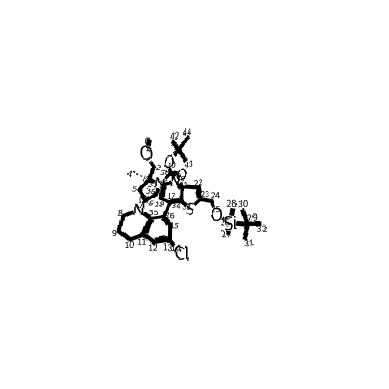 COC[C@]1(C)C[C@H](N2CCCc3cc(Cl)cc(-c4ccnc5cc(CO[Si](C)(C)C(C)(C)C)sc45)c32)CN1C(=O)OC(C)(C)C